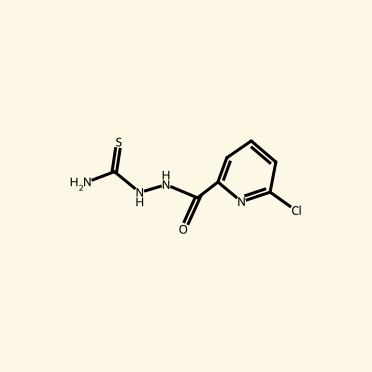 NC(=S)NNC(=O)c1cccc(Cl)n1